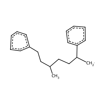 [CH2]C(CCC(C)CCc1ccccc1)c1ccccc1